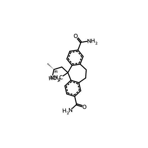 C[C@@H](N)CC1(C(=O)O)c2ccc(C(N)=O)cc2CCc2cc(C(N)=O)ccc21